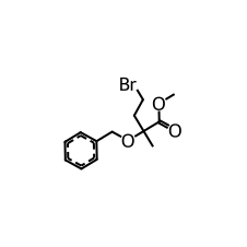 COC(=O)C(C)(CCBr)OCc1ccccc1